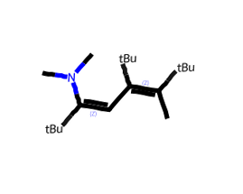 C/C(=C(\C=C(/N(C)C)C(C)(C)C)C(C)(C)C)C(C)(C)C